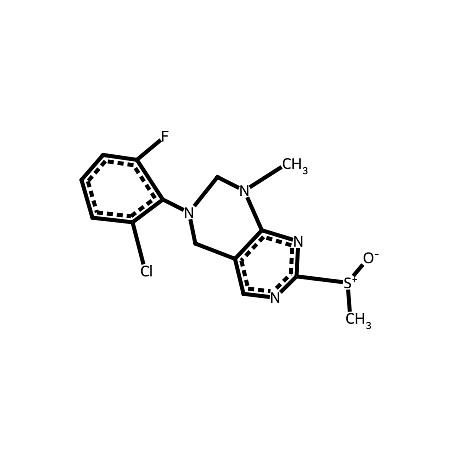 CN1CN(c2c(F)cccc2Cl)Cc2cnc([S+](C)[O-])nc21